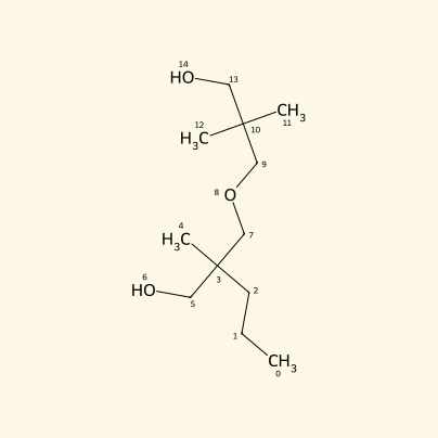 CCCC(C)(CO)COCC(C)(C)CO